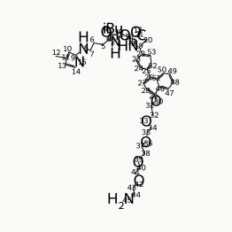 CC[C@H](C)[C@H](NC(=O)CCCNc1cc(C)ccn1)C(=O)N[C@@H](CC(=O)O)c1ccc(-c2ccc(OCCOCCOCCOCCOCCN)c3ccccc23)cc1